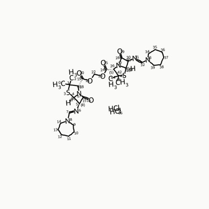 CC1(C)S[C@@H]2[C@H](N=CN3CCCCCC3)C(=O)N2[C@H]1C(=O)OCOC(=O)[C@@H]1N2C(=O)[C@@H](N=CN3CCCCCC3)[C@H]2SC1(C)C.Cl.Cl